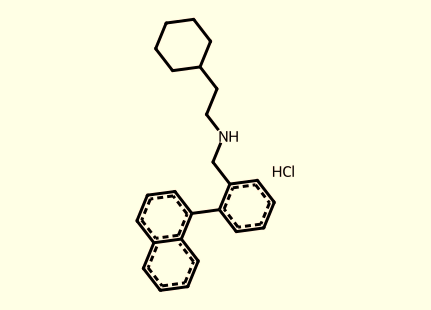 Cl.c1ccc(-c2cccc3ccccc23)c(CNCCC2CCCCC2)c1